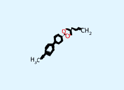 C=CCC[C@H]1CO[C@H](C2CCC(c3ccc(C#CC)cc3)CC2)OC1